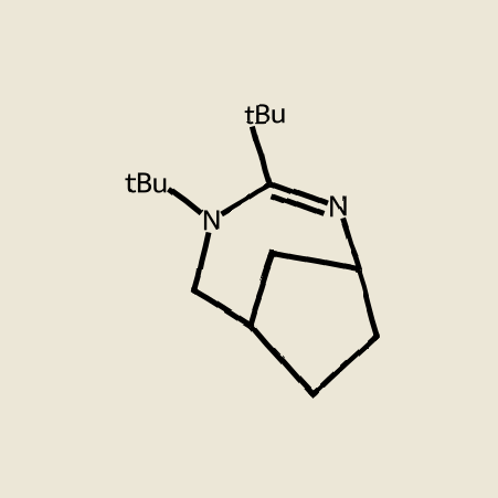 CC(C)(C)C1=NC2CCC(C2)CN1C(C)(C)C